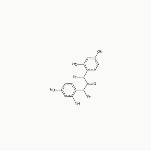 CC(C)C(C(=O)C(c1ccc(O)cc1O)C(C)C)c1ccc(O)cc1O